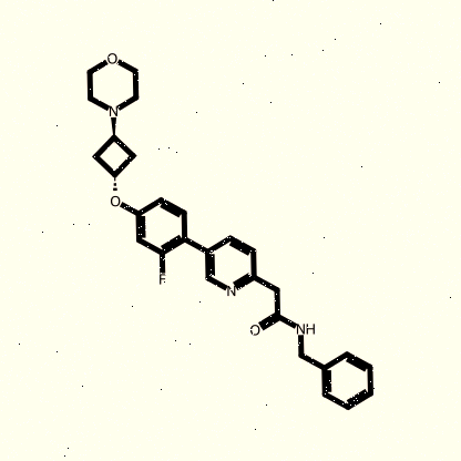 O=C(Cc1ccc(-c2ccc(O[C@H]3C[C@H](N4CCOCC4)C3)cc2F)cn1)NCc1ccccc1